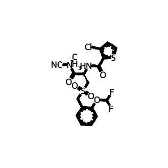 CN(C#N)C(=O)[C@H](CS(=O)(=O)Cc1ccccc1OC(F)F)NC(=O)c1sccc1Cl